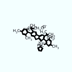 Cc1cc(C)c(-c2cc3c(cc2C(C)(C)C)-c2cc(C(C)(C)C)c(-c4c(C)cc(C)cc4C)[c]([Zr+2][CH]4C=CC=C4)c2C3)c(C)c1.[Cl-].[Cl-]